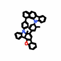 CC1C=C(C2=Cc3c(oc4ccccc34)C3c4ccccc4N(c4ccc(-c5ccccc5)cc4)C23C)C=CC1n1c2ccccc2c2ccccc21